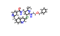 Cc1nc(NCCOCc2ccccc2)ccc1CNC(=O)c1ccnc(Cc2ccc3ncc(Cl)cc3c2)c1